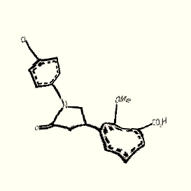 COc1c(C(=O)O)cccc1C1CC(=O)N(c2ccc(Cl)cc2)C1